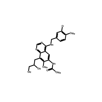 COC(=O)Nc1cc2c(NCc3ccc(OC)c(Cl)c3)ncnc2c(CC(O)CO)c1OC